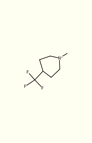 C[N+]1CCC(C(F)(F)F)CC1